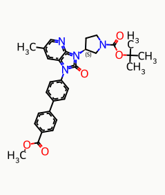 COC(=O)c1ccc(-c2ccc(-n3c(=O)n([C@H]4CCN(C(=O)OC(C)(C)C)C4)c4ncc(C)cc43)cc2)cc1